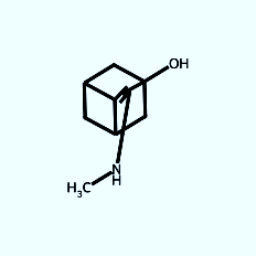 CNC1=C2C3CC2CC(O)(C1)C3